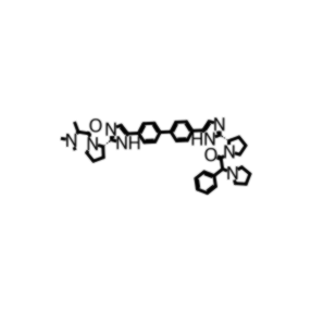 CC(C(=O)N1CCC[C@H]1c1ncc(-c2ccc(-c3ccc(-c4cnc([C@@H]5CCCN5C(=O)C(c5ccccc5)N5CCCC5)[nH]4)cc3)cc2)[nH]1)N(C)C